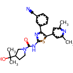 Cc1cc(-c2sc(NC(=O)N3CCC(C(C)(C)O)C3)nc2-c2cccc(C#N)c2)cc(C)n1